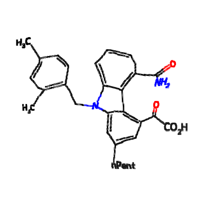 CCCCCc1cc(C(=O)C(=O)O)c2c3c(C(N)=O)cccc3n(Cc3ccc(C)cc3C)c2c1